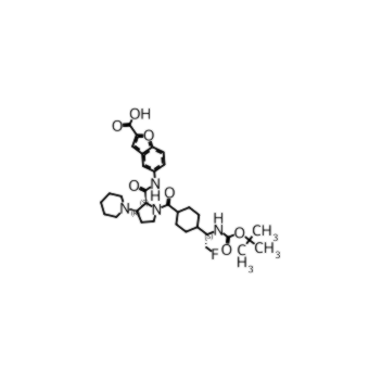 CC(C)(C)OC(=O)N[C@H](CF)C1CCC(C(=O)N2CC[C@@H](N3CCCCC3)[C@H]2C(=O)Nc2ccc3oc(C(=O)O)cc3c2)CC1